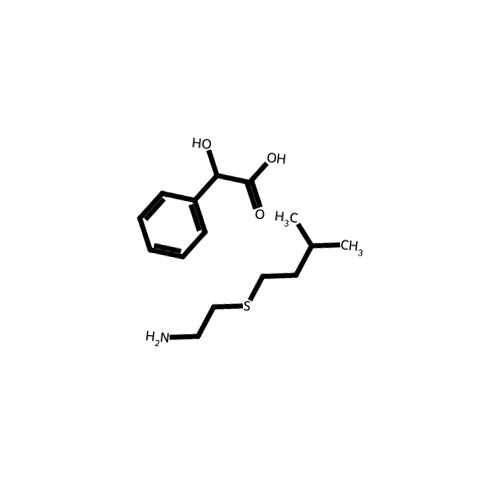 CC(C)CCSCCN.O=C(O)C(O)c1ccccc1